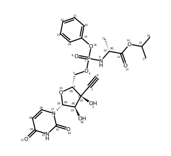 C#C[C@@]1(O)[C@@H](COP(=O)(N[C@H](C)C(=O)OC(C)C)Oc2ccccc2)O[C@@H](n2ccc(=O)[nH]c2=O)[C@@H]1O